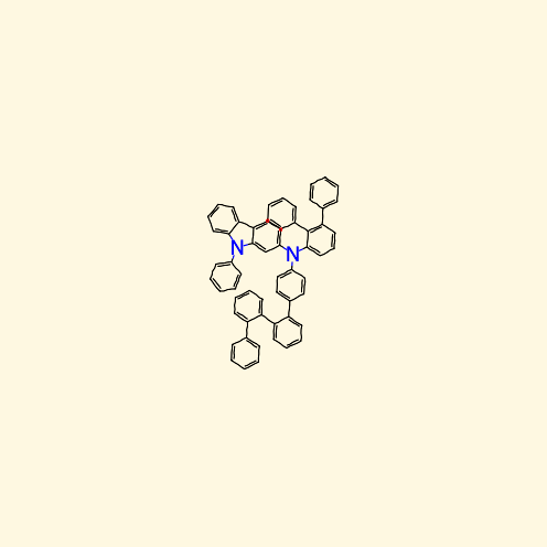 c1ccc(-c2ccccc2-c2ccccc2-c2ccc(N(c3ccc4c5ccccc5n(-c5ccccc5)c4c3)c3cccc(-c4ccccc4)c3-c3ccccc3)cc2)cc1